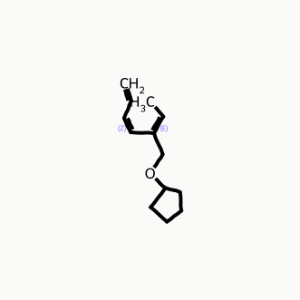 C=C/C=C\C(=C/C)COC1CCCC1